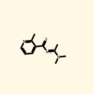 C/C(=N\C(=S)c1cccnc1C)N(C)C